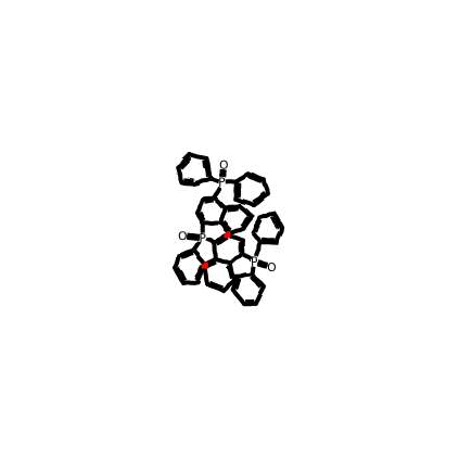 O=P(c1ccccc1)(c1ccccc1)c1ccc(P(=O)(c2ccccc2)c2ccc(P(=O)(c3ccccc3)c3ccccc3)c3ccccc23)c2ccccc12